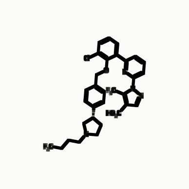 O=C(O)c1cnn(-c2cccc(-c3cccc(Cl)c3OCc3ccc([C@@H]4CCN(CCCC(F)(F)F)C4)cc3)n2)c1C(F)(F)F